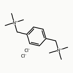 C[N+](C)(C)Cc1ccc(C[N+](C)(C)C)cc1.[Cl-].[Cl-]